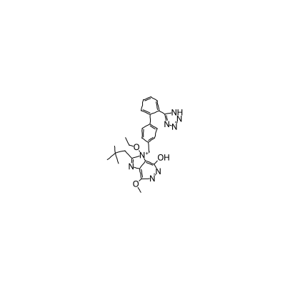 CCO[N+]1(Cc2ccc(-c3ccccc3-c3nnn[nH]3)cc2)C(CC(C)(C)C)=Nc2c(OC)nnc(O)c21